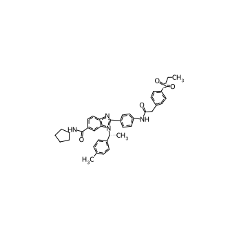 CCS(=O)(=O)c1ccc(CC(=O)Nc2ccc(-c3nc4ccc(C(=O)NC5CCCC5)cc4n3[C@H](C)c3ccc(C)cc3)cc2)cc1